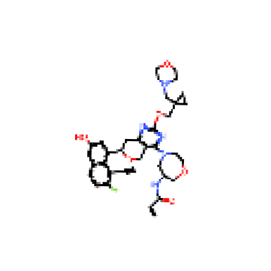 C#Cc1c(F)ccc2cc(O)cc(C3Cc4nc(OCC5(CN6CCOCC6)CC5)nc(N5CCOC[C@@H](NC(=O)C=C)C5)c4CO3)c12